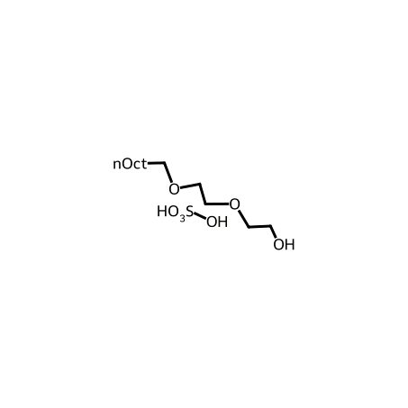 CCCCCCCCCOCCOCCO.O=S(=O)(O)O